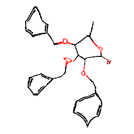 CC1OC(Br)C(OCc2ccccc2)C(OCc2ccccc2)C1OCc1ccccc1